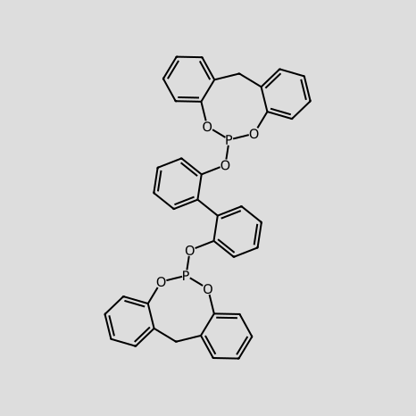 c1ccc2c(c1)Cc1ccccc1OP(Oc1ccccc1-c1ccccc1OP1Oc3ccccc3Cc3ccccc3O1)O2